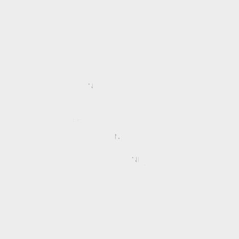 CC1=CC(C(=O)N(C)C)=NC1(C)N